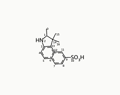 CC1Nc2ccc3ccc(S(=O)(=O)O)cc3c2C1(C)C